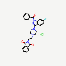 Cl.O=C1c2ccccc2C(=O)N1CCN1CCN(c2nn(C(=O)c3ccccc3)c3cc(F)ccc23)CC1